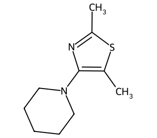 Cc1nc(N2CCCCC2)c(C)s1